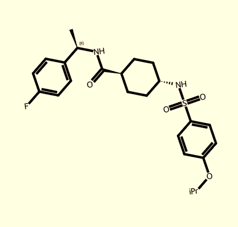 CC(C)Oc1ccc(S(=O)(=O)N[C@H]2CC[C@H](C(=O)N[C@H](C)c3ccc(F)cc3)CC2)cc1